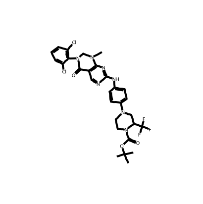 CN1CN(c2c(Cl)cccc2Cl)C(=O)c2cnc(Nc3ccc(N4CCN(C(=O)OC(C)(C)C)C(C(F)(F)F)C4)cc3)nc21